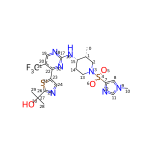 C[C@@H]1CN(S(=O)(=O)c2cn(C)cn2)CC[C@@H]1Nc1ncc(C(F)(F)F)c(-c2cnc(C(C)(C)O)s2)n1